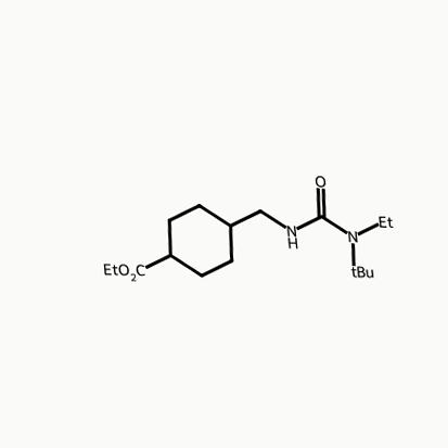 CCOC(=O)C1CCC(CNC(=O)N(CC)C(C)(C)C)CC1